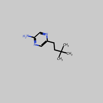 CC(C)(C)CCc1cnc(N)cn1